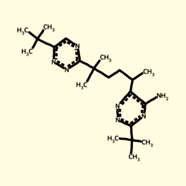 CC(CCC(C)(C)c1ncc(C(C)(C)C)nn1)c1nnc(C(C)(C)C)nc1N